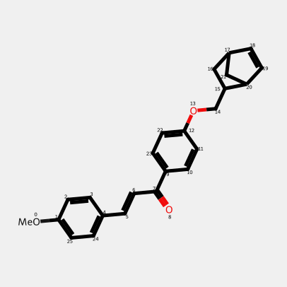 COc1ccc(C=CC(=O)c2ccc(OCC3CC4C=CC3C4)cc2)cc1